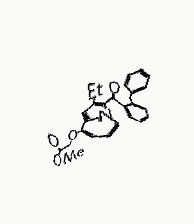 CCc1cc2c(OCC(=O)OC)cccn2c1C(=O)c1ccccc1-c1ccccc1